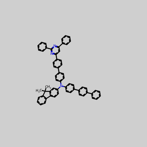 CC1(C)c2ccccc2-c2ccc(N(c3ccc(-c4ccc(-c5ccccc5)cc4)cc3)c3ccc(-c4ccc(-c5cc(-c6ccccc6)nc(-c6ccccc6)n5)cc4)cc3)cc21